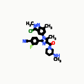 CN[C@H]1CCCN(C(=O)c2nc(-c3ccc(C#N)c(F)c3)n(-c3cc(C)c4nn(C)c(Cl)c4c3)c2C)C1